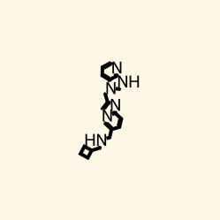 c1cnc2c(c1)N(Cc1cn3cc(CNCC4CCC4)ccc3n1)CN2